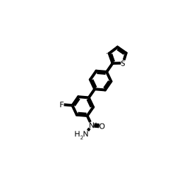 N[N+](=O)c1cc(F)cc(-c2ccc(-c3[c]ccs3)cc2)c1